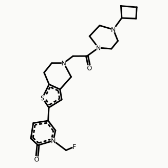 O=C(CN1CCc2sc(-c3ccc(=O)n(CF)c3)cc2C1)N1CCN(C2CCC2)CC1